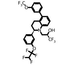 O[C@H](CN1c2cccc(-c3cccc(OC(F)(F)F)c3)c2CC[C@@H]1c1cccc(OC(F)(F)C(F)F)c1)C(F)(F)F